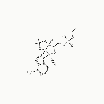 CCOP(=O)(O)OC[C@H]1O[C@@](C#N)(c2ccc3c(N)ncnn23)[C@@H]2OC(C)(C)O[C@@H]21